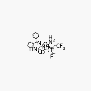 CC(F)(F)CC(C(=O)NC1N=C(c2ccccc2)c2ccccc2NC1=O)[C@H](CCC(F)(F)F)C(N)=O